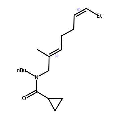 CC/C=C\CC/C=C(\C)CN(CCCC)C(=O)C1CC1